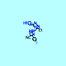 CCc1nc2cnc(N3CCNCC3)cn2c1CNc1ncc(C#N)c(-c2ccc(F)cc2)n1